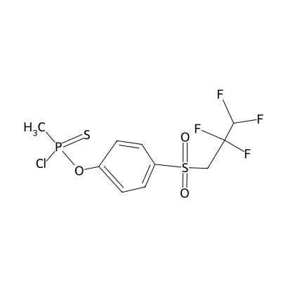 CP(=S)(Cl)Oc1ccc(S(=O)(=O)CC(F)(F)C(F)F)cc1